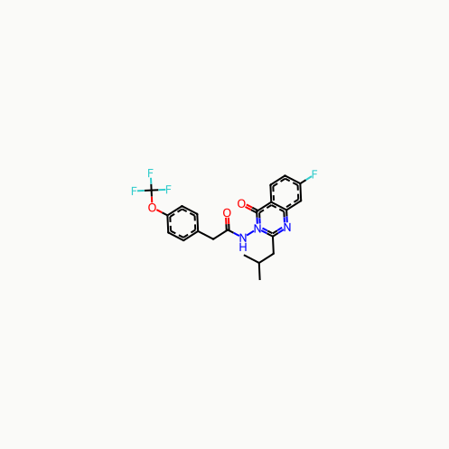 CC(C)Cc1nc2cc(F)ccc2c(=O)n1NC(=O)Cc1ccc(OC(F)(F)F)cc1